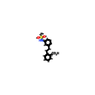 CC(C)S(=O)(=O)Nc1cccc(CCc2ccccc2C(=O)O)c1